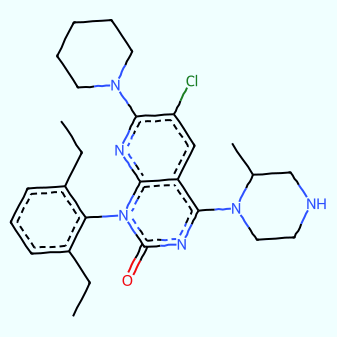 CCc1cccc(CC)c1-n1c(=O)nc(N2CCNCC2C)c2cc(Cl)c(N3CCCCC3)nc21